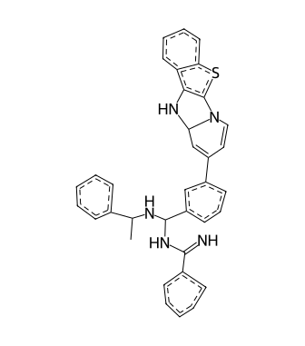 CC(NC(NC(=N)c1ccccc1)c1cccc(C2=CC3Nc4c(sc5ccccc45)N3C=C2)c1)c1ccccc1